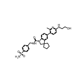 Cc1nc(NCCO)ccc1-c1ccc2c(c1)C1(CCCC1)CN2C(=O)NCc1ccc(S(N)(=O)=O)cc1